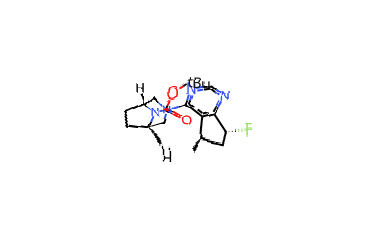 C[C@@H]1C[C@@H](F)c2ncnc(N3C[C@H]4CC[C@@H](C3)N4C(=O)OC(C)(C)C)c21